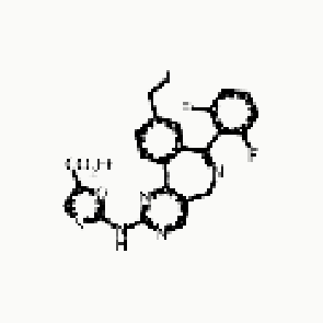 CCOC(=O)c1cnc(Nc2ncc3c(n2)-c2ccc(CI)cc2C(c2c(F)cccc2F)=NC3)o1